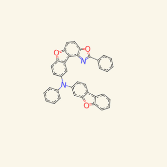 c1ccc(-c2nc3c(ccc4oc5ccc(N(c6ccccc6)c6ccc7c(c6)oc6ccccc67)cc5c43)o2)cc1